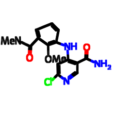 CNC(=O)c1cccc(Nc2cc(Cl)ncc2C(N)=O)c1OC